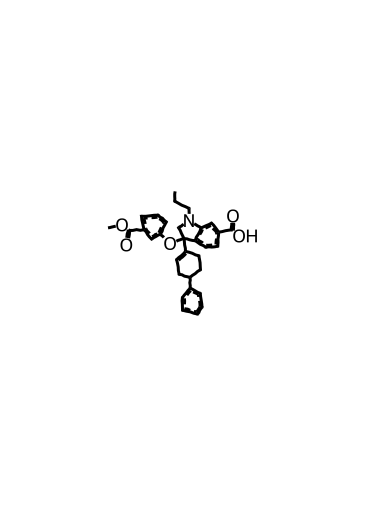 CCCN1CC(Oc2cccc(C(=O)OC)c2)(C2=CCC(c3ccccc3)CC2)c2ccc(C(=O)O)cc21